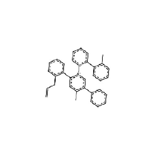 C=CCc1ccccc1-c1cc(C)c(-c2ccccc2)c[n+]1-[n+]1ccccc1-c1ccccc1C